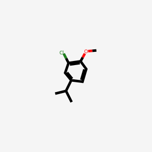 COc1ccc([C](C)C)cc1Cl